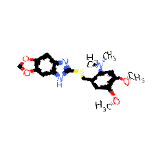 COc1cc(CSc2nc3cc4c(cc3[nH]2)OCO4)c(N(C)C)cc1OC